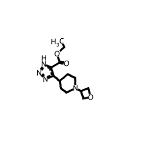 CCOC(=O)c1[nH]nnc1C1CCN(C2COC2)CC1